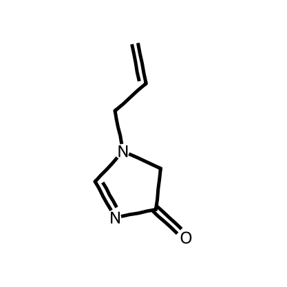 C=CCN1C=NC(=O)C1